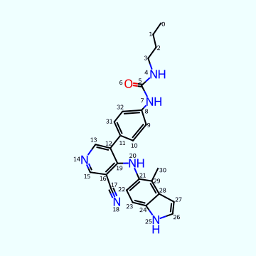 CCCCNC(=O)Nc1ccc(-c2cncc(C#N)c2Nc2ccc3[nH]ccc3c2C)cc1